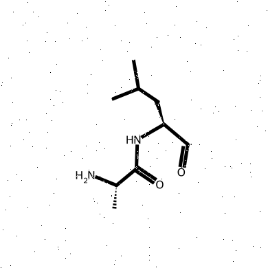 CC(C)C[C@@H]([C]=O)NC(=O)[C@H](C)N